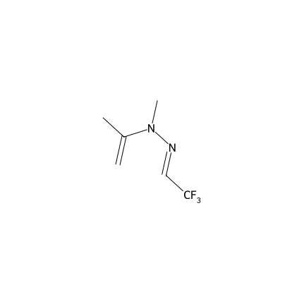 C=C(C)N(C)/N=C/C(F)(F)F